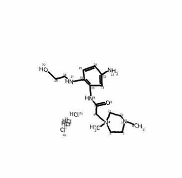 CN1CC[N+](C)(CC(=O)Nc2cc(N)ccc2NCCO)CC1.Cl.Cl.Cl.[Cl-]